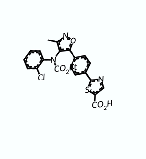 CCOC(=O)N(c1ccccc1Cl)c1c(C)noc1-c1ccc(-c2ncc(C(=O)O)s2)cc1